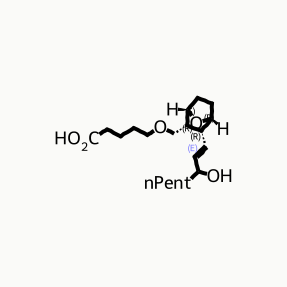 CCCCCC(O)/C=C/[C@@H]1[C@H](COCCCCC(=O)O)[C@@H]2CC[C@H]1O2